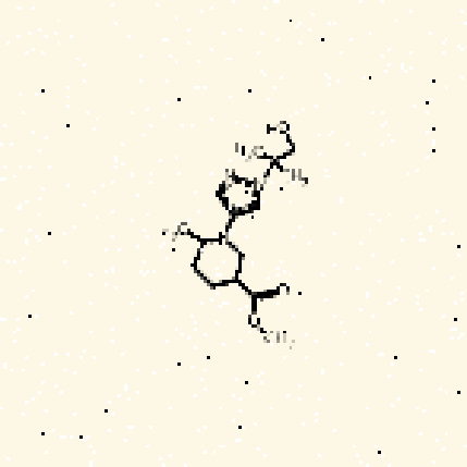 COC(=O)C1CCC(C)N(c2cnn(C(C)(C)CO)c2)C1